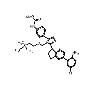 COC(=O)Nc1ccc(-c2cnc(C3CCc4cc(-c5cc(Cl)ccc5N)cnc43)n2COCC[Si](C)(C)C)cc1